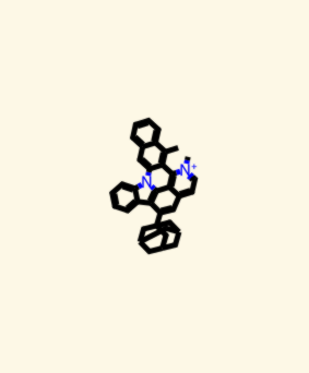 Cc1c2ccccc2cc2c1c1c3c(cc[n+]1C)cc(C14CC5CC(CC(C5)C1)C4)c1c4ccccc4n2c13